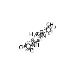 Cc1cccc(-c2nc(CSCC(=O)Nc3ccc(Cl)cc3Cl)c(C)o2)c1